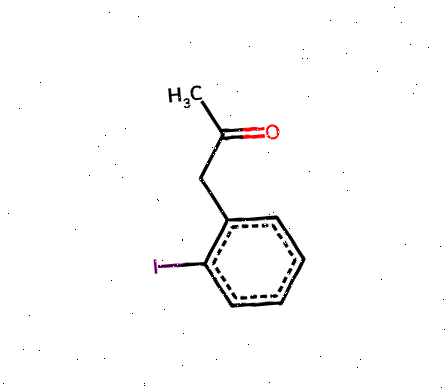 CC(=O)Cc1ccccc1I